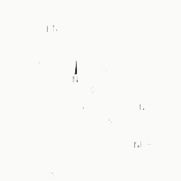 CC(=O)Nc1nc(C)c(S(=O)(=O)N(Cc2ccc(Br)cc2)[C@@H]2CCCCNC2=O)s1